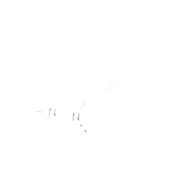 Nc1ccnn1OCCOc1ccccc1